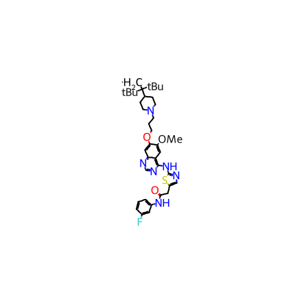 [CH2]C(C1CCN(CCCOc2cc3ncnc(Nc4ncc(CC(=O)Nc5cccc(F)c5)s4)c3cc2OC)CC1)(C(C)(C)C)C(C)(C)C